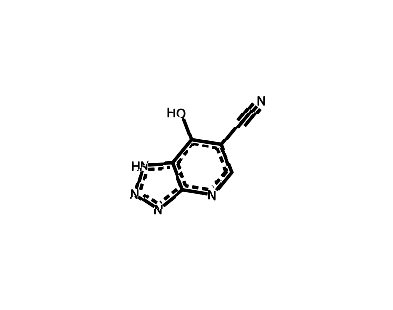 N#Cc1cnc2nn[nH]c2c1O